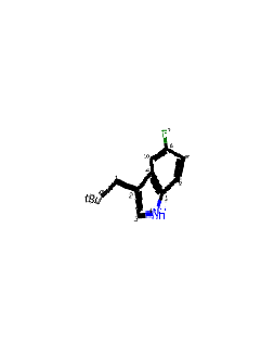 CC(C)(C)Cc1c[nH]c2ccc(F)cc12